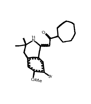 COc1cc2c(cc1Br)/C(=C/C(=O)C1CCCCCC1)NC(C)(C)C2